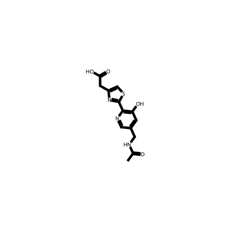 CC(=O)NCc1cnc(-c2nc(CC(=O)O)cs2)c(O)c1